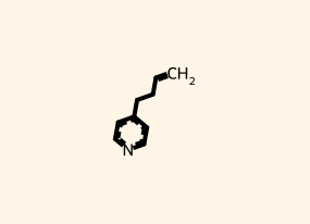 C=CCCc1ccncc1